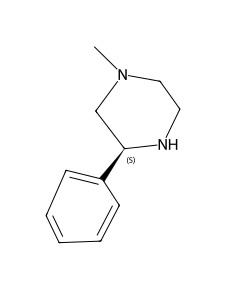 CN1CCN[C@@H](c2ccccc2)C1